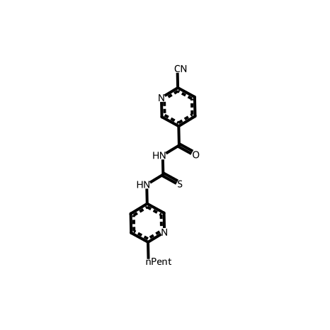 CCCCCc1ccc(NC(=S)NC(=O)c2ccc(C#N)nc2)cn1